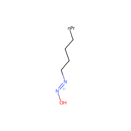 CCCCCCC/N=N/O